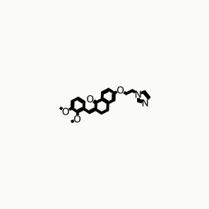 COc1cccc(C=C2CCc3cc(OCCn4ccnc4)ccc3C2=O)c1OC